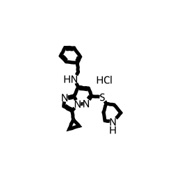 Cl.c1ccc(CNc2cc(SC3CCNCC3)nn3c(C4CC4)cnc23)cc1